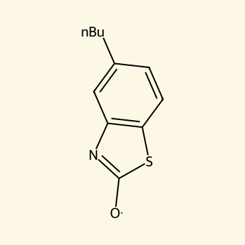 CCCCc1ccc2sc([O])nc2c1